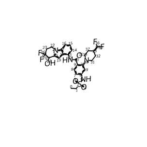 CCS(=O)(=O)Nc1ccc(C(=O)Nc2cccc3c2cc2n3CCC(F)(F)C2O)c(N2CCC(=C(F)F)CC2)c1